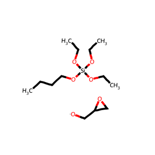 CCCCO[Si](OCC)(OCC)OCC.[O]CC1CO1